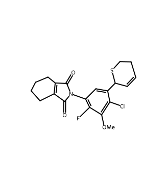 COc1c(F)c(N2C(=O)C3=C(CCCC3)C2=O)cc(C2C=CCCS2)c1Cl